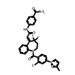 Cc1ccn(-c2ccc(C(=O)N3CCC(F)(F)/C(=C\C(=O)Nc4ccc(C(N)=O)cc4)c4ccccc43)c(Cl)c2)n1